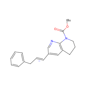 CC(C)(C)OC(=O)N1CCCc2cc(/C=C/Cc3ccccc3)cnc21